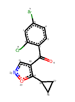 O=C(c1ccc(Br)cc1Cl)c1cnoc1C1CC1